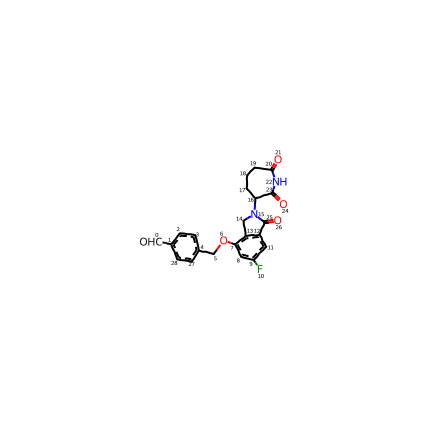 O=Cc1ccc(COc2cc(F)cc3c2CN(C2CCCC(=O)NC2=O)C3=O)cc1